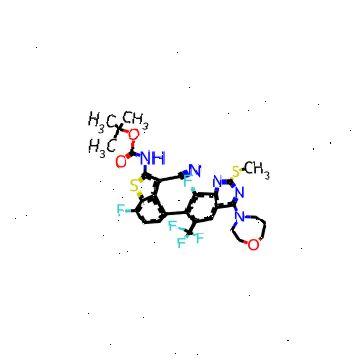 CSc1nc(N2CCCOCC2)c2cc(C(F)(F)F)c(-c3ccc(F)c4sc(NC(=O)OC(C)(C)C)c(C#N)c34)c(F)c2n1